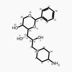 NC1CCN(C[C@H](O)[C@H](O)C2OC(c3ccccc3)OCC2O)CC1